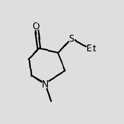 CCSC1CN(C)CCC1=O